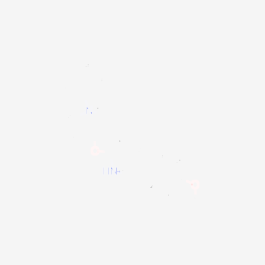 COc1ccc(C2CCC(OC3CCN(C4CCCC4)CC3)NC2)cc1